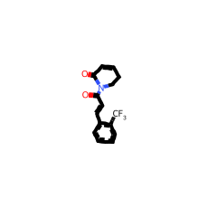 O=C1C=CCCN1C(=O)C=Cc1ccccc1C(F)(F)F